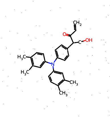 C=CC(=O)C(CO)c1ccc(N(c2ccc(C)c(C)c2)c2ccc(C)c(C)c2)cc1